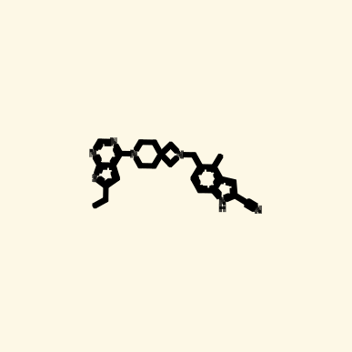 CCc1cc2c(N3CCC4(CC3)CN(Cc3ccc5[nH]c(C#N)cc5c3C)C4)ncnc2s1